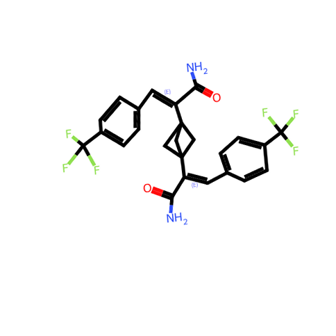 NC(=O)/C(=C/c1ccc(C(F)(F)F)cc1)C12CC(/C(=C\c3ccc(C(F)(F)F)cc3)C(N)=O)(C1)C2